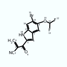 C=C(C#N)C(=O)c1cc2cc(OC(F)F)c(Br)cc2[nH]1